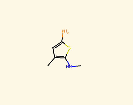 CNc1sc(P)cc1C